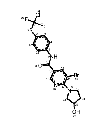 O=C(Nc1ccc(SC(F)(F)Cl)cc1)c1cnc(N2CCC(O)C2)c(Br)c1